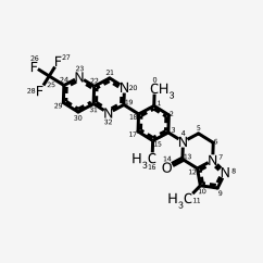 Cc1cc(N2CCn3ncc(C)c3C2=O)c(C)cc1-c1ncc2nc(C(F)(F)F)ccc2n1